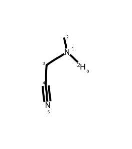 [2H]N(C)CC#N